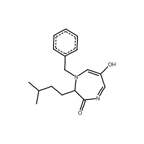 CC(C)CCC1C(=O)N=CC(O)=CN1Cc1ccccc1